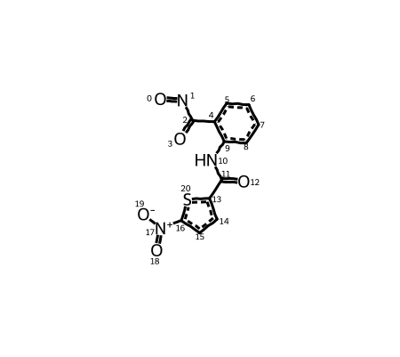 O=NC(=O)c1ccccc1NC(=O)c1ccc([N+](=O)[O-])s1